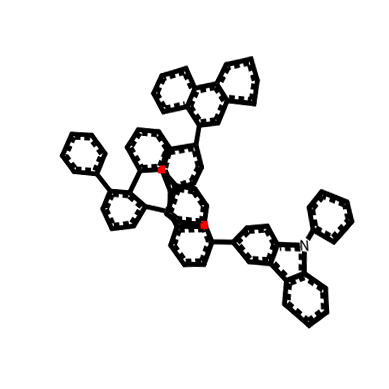 c1ccc(-c2ccccc2-c2c(-c3ccccc3)cccc2N(c2ccc(-c3cc4ccccc4c4ccccc34)cc2)c2cccc(-c3ccc4c(c3)c3ccccc3n4-c3ccccc3)c2)cc1